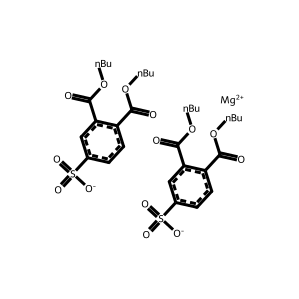 CCCCOC(=O)c1ccc(S(=O)(=O)[O-])cc1C(=O)OCCCC.CCCCOC(=O)c1ccc(S(=O)(=O)[O-])cc1C(=O)OCCCC.[Mg+2]